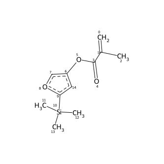 C=C(C)C(=O)Oc1coc([Si](C)(C)C)c1